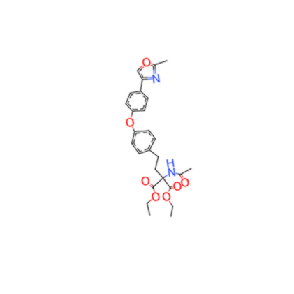 CCOC(=O)C(CCc1ccc(Oc2ccc(-c3coc(C)n3)cc2)cc1)(NC(C)=O)C(=O)OCC